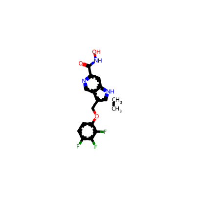 CC.O=C(NO)c1cc2[nH]cc(COc3ccc(F)c(F)c3F)c2cn1